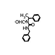 CC(c1ccccc1)N([C]=O)C(=O)NCc1ccccc1